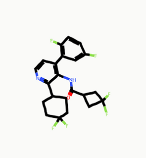 O=C(Nc1c(-c2cc(F)ccc2F)ccnc1C1CCC(F)(F)CC1)C1CC(F)(F)C1